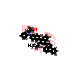 B=c1c(-c2ccc3c4c(cccc24)-c2ccccc2-3)c2c(B)c(B)c(B)c(B)c2c(-c2ccc3cc(-n4c(C(B)(O)C(B)(B)B)nc5ccccc54)ccc3c2)/c1=C(B)/C(B)=C(/B)C